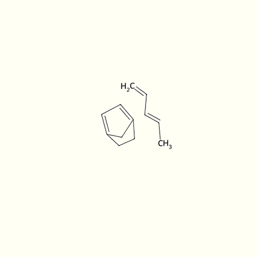 C1=C2CCC(=C1)C2.C=CC=CC